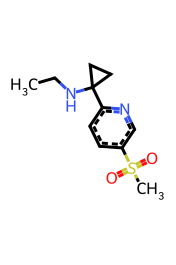 CCNC1(c2ccc(S(C)(=O)=O)cn2)CC1